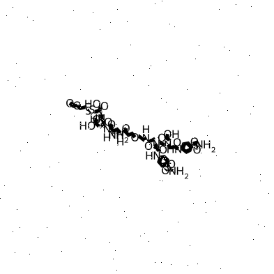 N[C@@H](CNC(=O)CCOCCNC(=O)CN(CCN(CC(=O)O)CC(=O)Nc1ccc(S(N)(=O)=O)cc1)CC(=O)Nc1ccc(S(N)(=O)=O)cc1)C(=O)N[C@H](CC(=O)O)C(=O)NC[C@@H](CSSCCOC=O)C(=O)O